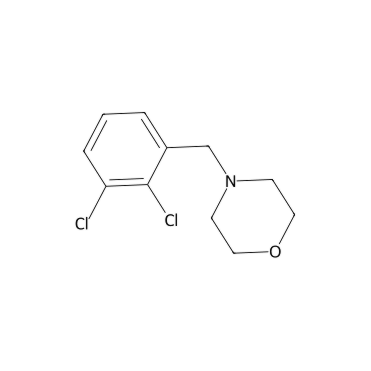 Clc1cccc(CN2CCOCC2)c1Cl